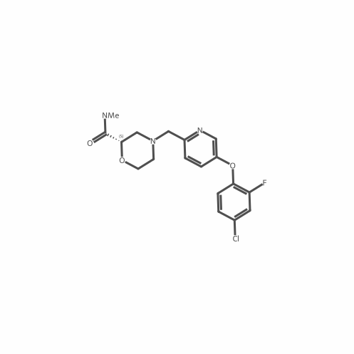 CNC(=O)[C@@H]1CN(Cc2ccc(Oc3ccc(Cl)cc3F)cn2)CCO1